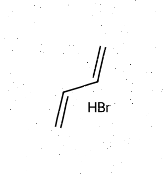 Br.C=CC=C